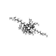 CCCCCCCC[S+]([O-])C1(OC(=O)CC)C=C(C(C)(C)C)C(O)C([S+]([O-])CCCCCCCC)(C(C)(C)C)C1CCC